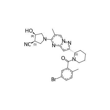 Cc1ccc(Br)cc1C(=O)N1CCCC[C@H]1c1cc2nc(N3C[C@@H](C#N)[C@@H](O)C3)c(C)cn2n1